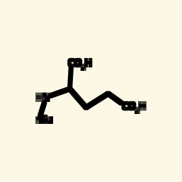 CCCCNC(CCC(=O)O)C(=O)O